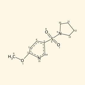 COc1ccc(S(=O)(=O)N2CCCC2)cn1